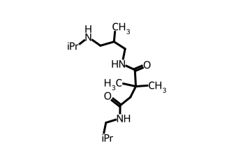 CC(C)CNC(=O)CC(C)(C)C(=O)NCC(C)CNC(C)C